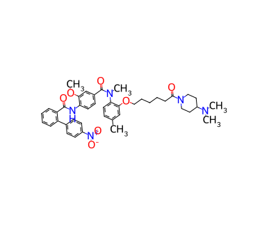 COc1cc(C(=O)N(C)c2ccc(C)cc2OCCCCCC(=O)N2CCC(N(C)C)CC2)ccc1NC(=O)c1ccccc1-c1ccc([N+](=O)[O-])cc1